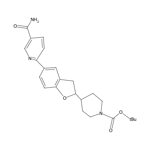 CC(C)(C)OC(=O)N1CCC(C2Cc3cc(-c4ccc(C(N)=O)cn4)ccc3O2)CC1